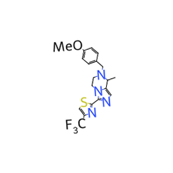 COc1ccc(CN2CCn3c(cnc3-c3nc(C(F)(F)F)cs3)C2C)cc1